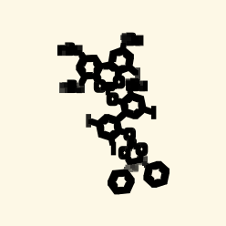 CCCCc1cc(CCCC)c2op(Oc3c(-c4cc(I)cc(I)c4OP4O[C@H](c5ccccc5)[C@H](c5ccccc5)O4)cc(I)cc3C(C)(C)C)oc3c(I)cc(C(C)(C)C)cc3c2c1